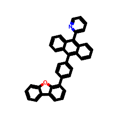 c1ccc(-c2c3ccccc3c(-c3ccc(-c4cccc5c4oc4ccccc45)cc3)c3ccccc23)nc1